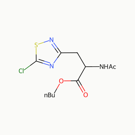 CCCCOC(=O)C(Cc1nsc(Cl)n1)NC(C)=O